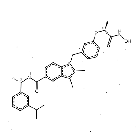 Cc1c(C)n(Cc2cccc(O[C@@H](C)C(=O)NO)c2)c2ccc(C(=O)N[C@@H](C)c3cccc(C(C)C)c3)cc12